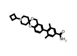 Cc1cc(C(N)=O)cc(C)c1-c1ccc2c(c1)COC1(CCN(C3CCC3)CC1)O2